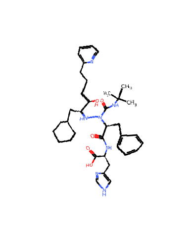 CC(C)(C)NC(=O)N(N[C@@H](CC1CCCCC1)[C@H](O)CCCc1ccccn1)[C@@H](Cc1ccccc1)C(=O)N[C@@H](Cc1c[nH]cn1)C(=O)O